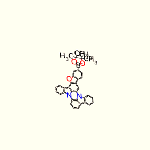 CC1(C)OB(c2ccc3c(c2)oc2c3cc3c4c2c2ccccc2n4c2cccc4c5ccccc5n3c42)OC1(C)C